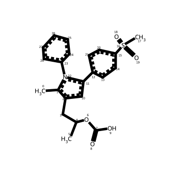 Cc1c(CC(C)OC(=O)O)cc(-c2ccc(S(C)(=O)=O)cc2)n1-c1ccccc1